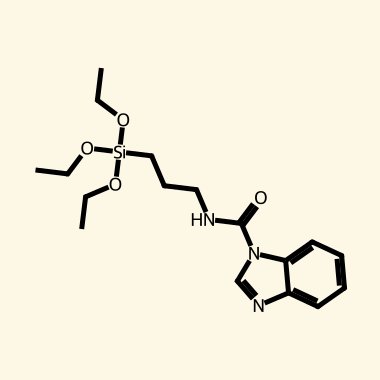 CCO[Si](CCCNC(=O)n1cnc2ccccc21)(OCC)OCC